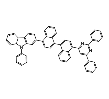 C1=CC2c3ccc(-c4ccc(-c5ccc(-c6cc(-c7ccccc7)nc(-c7ccccc7)n6)c6ccccc56)c5ccccc45)cc3N(c3ccccc3)C2C=C1